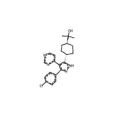 CC(C)(O)[C@H]1CC[C@H](c2[nH]nc(-c3ccc(Cl)cc3)c2-c2ccncn2)CC1